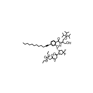 CCCCCCCCCCC#Cc1ccc(C(=O)N[C@H](CO)CO[Si](C(C)C)(C(C)C)C(C)C)c(OC[C@@H]2CC(F)(F)CN2C(=O)CN(C)C(=O)CP(=O)(OCC)OCC)c1